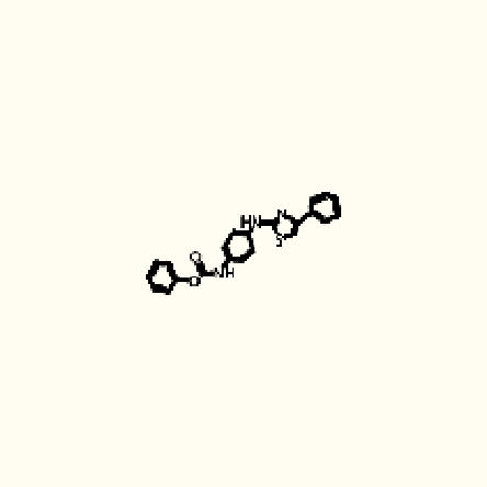 O=C(Nc1ccc(Nc2nc(-c3ccccc3)cs2)cc1)Oc1ccccc1